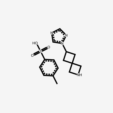 Cc1ccc(S(=O)(=O)O)cc1.c1ncn(C2CC3(CNC3)C2)n1